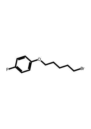 Fc1ccc(OCCCCCBr)cc1